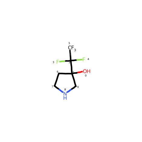 OC1(C(F)(F)C(F)(F)F)CCNC1